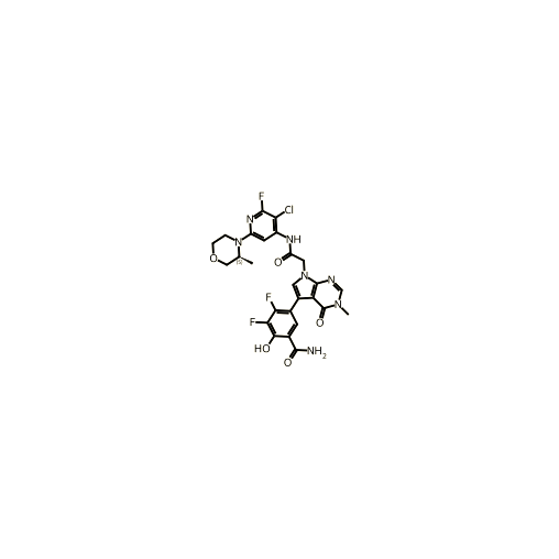 C[C@H]1COCCN1c1cc(NC(=O)Cn2cc(-c3cc(C(N)=O)c(O)c(F)c3F)c3c(=O)n(C)cnc32)c(Cl)c(F)n1